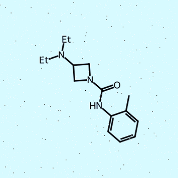 CCN(CC)C1CN(C(=O)Nc2ccccc2C)C1